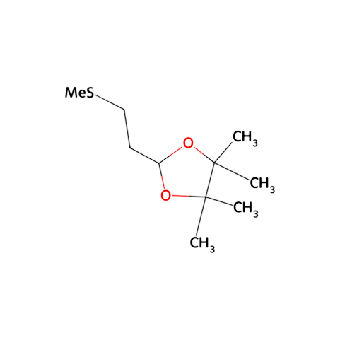 CSCCC1OC(C)(C)C(C)(C)O1